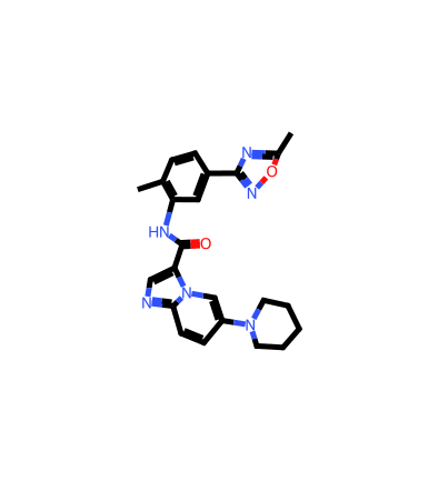 Cc1nc(-c2ccc(C)c(NC(=O)c3cnc4ccc(N5CCCCC5)cn34)c2)no1